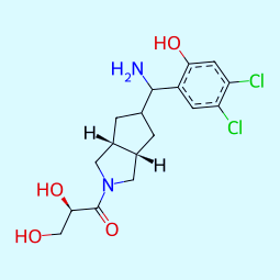 NC(c1cc(Cl)c(Cl)cc1O)C1C[C@@H]2CN(C(=O)[C@H](O)CO)C[C@@H]2C1